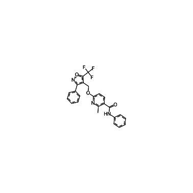 Cc1nc(OCc2c(-c3ccccc3)noc2C(F)(F)F)ccc1C(=O)Nc1ccccc1